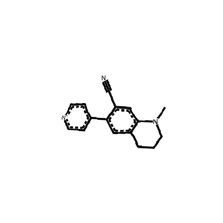 CN1CCCc2cc(-c3ccncc3)c(C#N)cc21